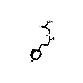 [2H][C@@H](CCc1ccc(Cl)cc1)NCC([NH])=O